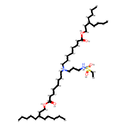 CCCCCC(CCCCC)CCOC(=O)CCCCCCCN(CCCCCCCC(=O)OCCC(CCCC)CCCC)CCCNS(=O)(=O)CC